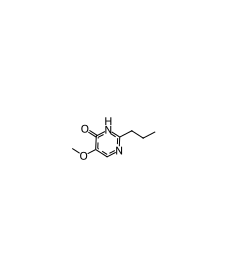 CCCc1ncc(OC)c(=O)[nH]1